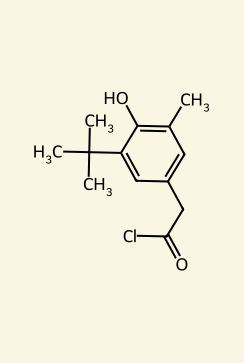 Cc1cc(CC(=O)Cl)cc(C(C)(C)C)c1O